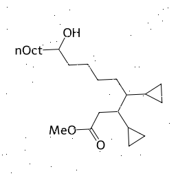 CCCCCCCCC(O)CCCCC(C1CC1)C(CC(=O)OC)C1CC1